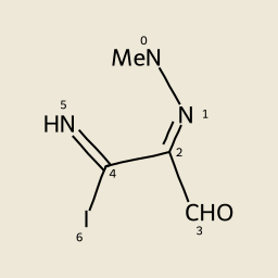 CN/N=C(/C=O)C(=N)I